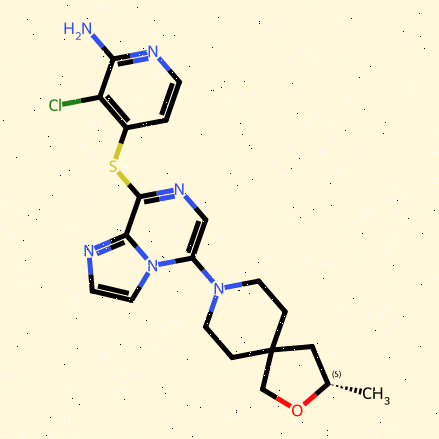 C[C@H]1CC2(CCN(c3cnc(Sc4ccnc(N)c4Cl)c4nccn34)CC2)CO1